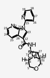 CN1[C@@H]2COC[C@H]1C[C@@H](NC(=O)c1cn(-c3ccccn3)c3ncccc13)C2